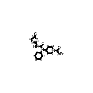 CCCC(=O)N1CCC(N(C(=O)NC2=NCC(Cl)S2)C2CCCCC2)CC1